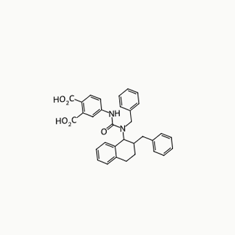 O=C(O)c1ccc(NC(=O)N(Cc2ccccc2)C2c3ccccc3CCC2Cc2ccccc2)cc1C(=O)O